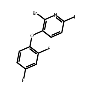 Fc1ccc(Oc2ccc(I)nc2Br)c(F)c1